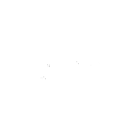 S=C1C=CC(CCc2c[nH]cn2)=NC1